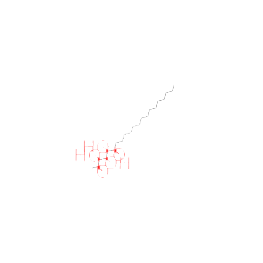 CCCCCCCCCCCCCCCC(=O)C(O)C(O)C(O)C(C)=O